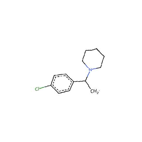 [CH2]C(c1ccc(Cl)cc1)N1CCCCC1